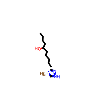 Br.CCCCCC(O)CCCC.c1nc[nH]n1